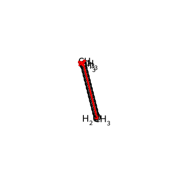 C=C(C)C(=O)OCCOCCOCCOCCOCCOCCOCCOCCOCCOCCOCCOCCOCCOCCOCCOCCOCCOCCOCCOCCOCCOCCOCCOCCOCCOc1c(C(C)c2ccccc2)cc(C(C)c2ccccc2)cc1C(C)c1ccccc1